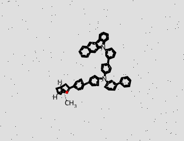 C[C@H]1C[C@H]2C[C@H]3CC(c4ccc(-c5ccc(N(c6ccc(-c7cccc(-n8c9ccccc9c9cc%10ccccc%10cc98)c7)cc6)c6cccc(-c7ccccc7)c6)cc5)cc4)(CC23)C1